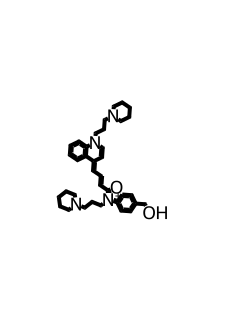 OCc1ccc2c(c1)oc(/C=C/C=C1\C=CN(CCCN3CCCCC3)c3ccccc31)[n+]2CCCN1CCCCC1